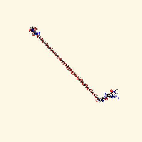 CCCN(CCC)C(=O)C1=Cc2ccc(C(=O)Nc3cnc4c(c3)CN(C(=O)CCOCCOCCOCCOCCOCCOCCOCCOCCOCCOCCOCCOCCOCCOCCOCCOCCOCCOCCOCCOCCOCCOCCOCCOCCNC(=O)CCN3C(=O)C=CC3=O)CC4)cc2N=C(N)C1